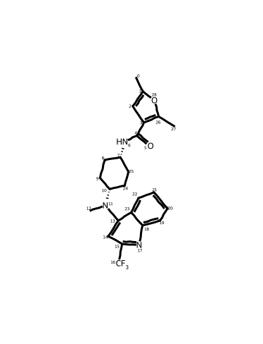 Cc1cc(C(=O)N[C@H]2CC[C@@H](N(C)c3cc(C(F)(F)F)nc4ccccc34)CC2)c(C)o1